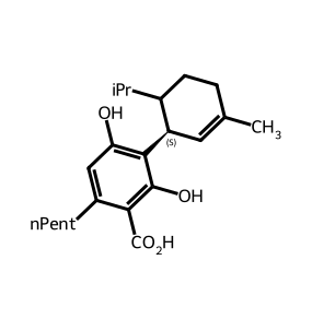 CCCCCc1cc(O)c([C@@H]2C=C(C)CCC2C(C)C)c(O)c1C(=O)O